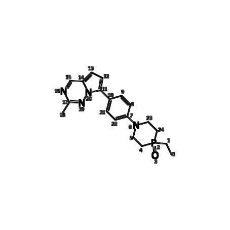 CCP1(=O)CCN(c2ccc(-c3ccc4cnc(C)nn34)cc2)CC1